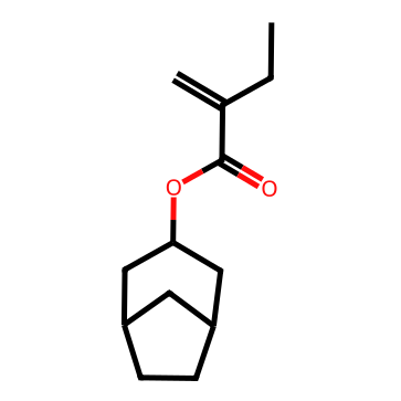 C=C(CC)C(=O)OC1CC2CCC(C2)C1